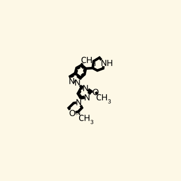 COc1nc(N2CCO[C@@H](C)C2)cc(-n2ncc3cc(C)c(C4CCNCC4)cc32)n1